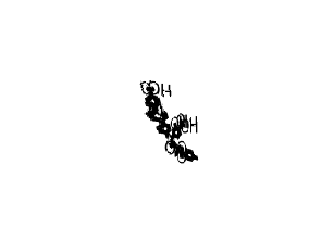 Cc1ccc(S(=O)(=O)N(C)CC(=O)N(Cc2ccc(C3CCN(c4ccc(C(=O)O)cc4)CC3)cc2)c2ccc(C(=O)O)c(O)c2)cc1